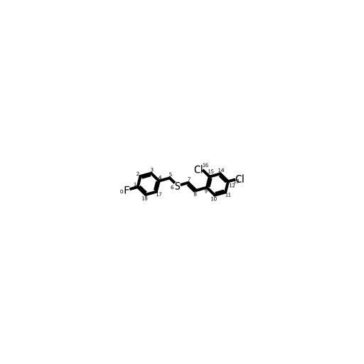 Fc1ccc(CSC=Cc2ccc(Cl)cc2Cl)cc1